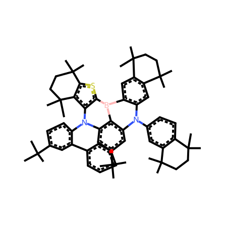 CC(C)(C)c1ccc(N2c3cc(C(C)(C)C)cc4c3B(c3cc5c(cc3N4c3ccc4c(c3)C(C)(C)CCC4(C)C)C(C)(C)CCC5(C)C)c3sc4c(c32)C(C)(C)CCC4(C)C)c(-c2ccccc2)c1